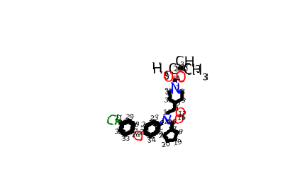 CC(C)(C)OC(=O)N1CCC(C(=O)CN(C(=O)C2CCCC2)c2ccc(Oc3ccc(Cl)cc3)cc2)CC1